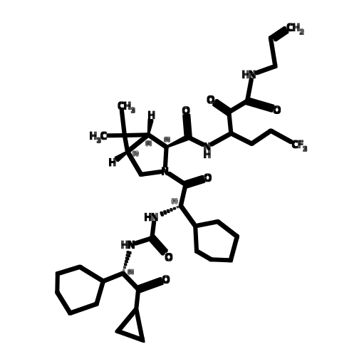 C=CCNC(=O)C(=O)C(CCC(F)(F)F)NC(=O)[C@@H]1[C@@H]2[C@H](CN1C(=O)[C@@H](NC(=O)N[C@H](C(=O)C1CC1)C1CCCCC1)C1CCCCC1)C2(C)C